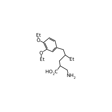 CCOc1ccc(CC(CC)CC(CN)C(=O)O)cc1OCC